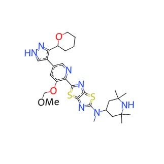 COCOc1cc(-c2c[nH]nc2C2CCCCO2)cnc1-c1nc2sc(N(C)C3CC(C)(C)NC(C)(C)C3)nc2s1